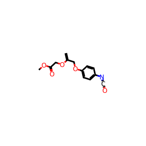 C=C(COc1ccc(N=C=O)cc1)OCC(=O)OC